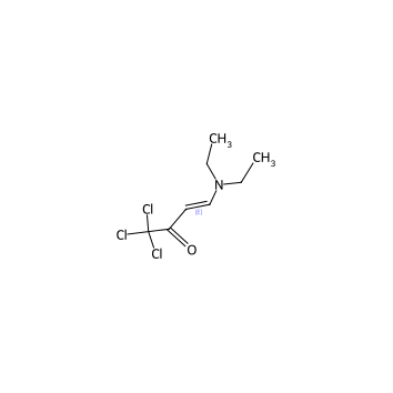 CCN(/C=C/C(=O)C(Cl)(Cl)Cl)CC